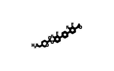 BCC1CCC(C(=O)Oc2ccc(-c3ccc(-c4ccc(C5CO5)c(F)c4F)cc3)c(F)c2F)OC1